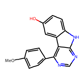 COc1ccc(-c2ncnc3[nH]c4ccc(O)cc4c23)cc1